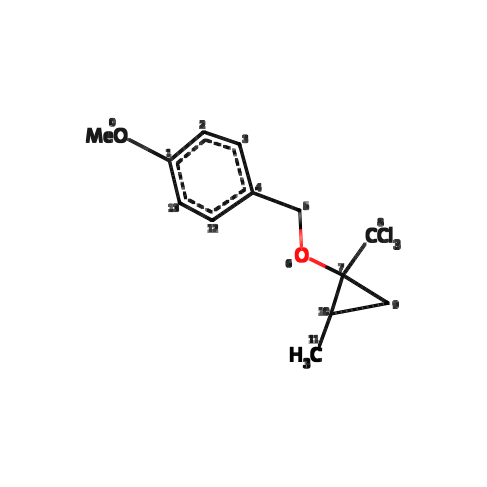 COc1ccc(COC2(C(Cl)(Cl)Cl)CC2C)cc1